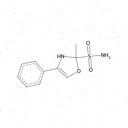 CC1(S(N)(=O)=O)NC(c2ccccc2)=CO1